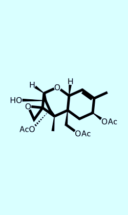 CC(=O)OC[C@]12C[C@H](OC(C)=O)C(C)=C[C@H]1O[C@@H]1[C@H](O)[C@@H](OC(C)=O)[C@@]2(C)C12CO2